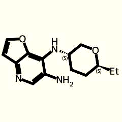 CC[C@H]1CC[C@H](Nc2c(N)cnc3ccoc23)CO1